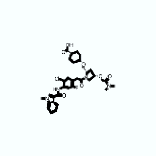 CN(C)C(=O)CO[C@H]1C[C@@H](CO[C@H]2CC[C@H](C(=O)O)CC2)N(C(=O)Cc2cc(Cl)c(NC(=O)c3cn(C)c4ccccc34)cc2F)C1